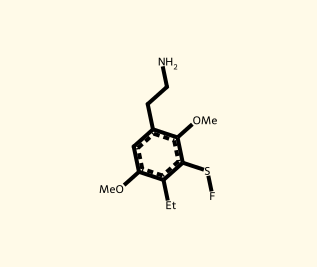 CCc1c(OC)cc(CCN)c(OC)c1SF